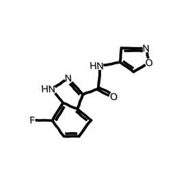 O=C(Nc1cnoc1)c1n[nH]c2c(F)cccc12